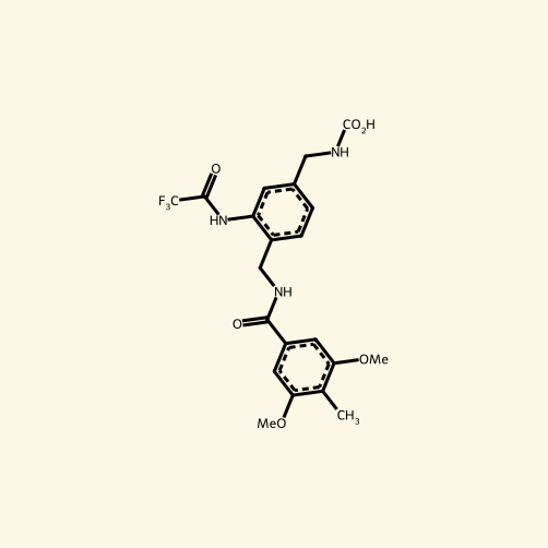 COc1cc(C(=O)NCc2ccc(CNC(=O)O)cc2NC(=O)C(F)(F)F)cc(OC)c1C